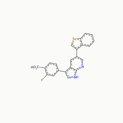 O=C(O)c1ccc(-c2c[nH]c3ncc(-c4csc5ccccc45)cc23)cc1F